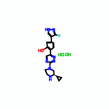 Cl.Cl.Oc1cc(-c2c[nH]nc2F)ccc1-c1cnc(N2CCN[C@@H](C3CC3)C2)nn1